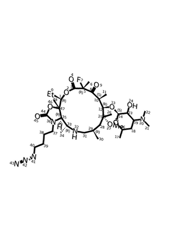 CC[C@H]1OC(=O)[C@](C)(F)C(=O)[C@@H](C)[C@@H](O[C@@H]2OC(C)CC(N(C)C)C2O)[C@](C)(OC)C[C@@H](C)CN[C@H](C)[C@H]2N(CCCCN=[N+]=[N-])C(=O)O[C@]12C